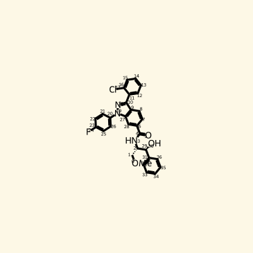 COC[C@H](NC(=O)c1ccc2c(-c3ccccc3Cl)nn(-c3ccc(F)cc3)c2c1)[C@@H](O)c1ccccc1